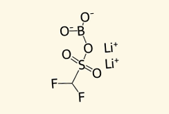 O=S(=O)(OB([O-])[O-])C(F)F.[Li+].[Li+]